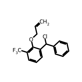 C=CCOc1c(C(Cl)c2ccccc2)cccc1C(F)(F)F